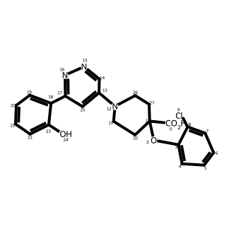 O=C(O)C1(Oc2ccccc2Cl)CCN(c2cnnc(-c3ccccc3O)c2)CC1